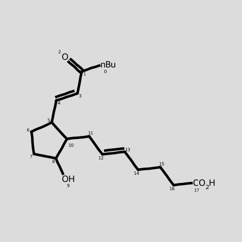 CCCCC(=O)C=CC1CCC(O)C1CC=CCCCC(=O)O